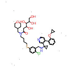 O=C(CC(O)C(O)C(O)CO)N(CCCCSc1ccc(Cl)c(CNC2(c3cnccc3-c3ccccc3OC3CC3)CC2)c1)CC1CCOCC1